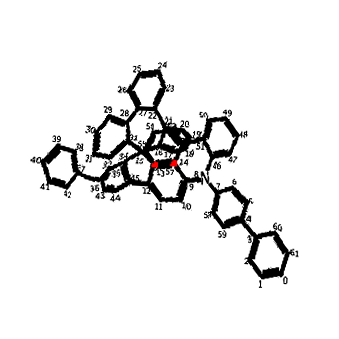 c1ccc(-c2ccc(N(c3ccc4c(c3)C3(c5ccccc5-c5ccccc5-c5ccccc53)c3cc(-c5ccccc5)ccc3-4)c3ccccc3-c3ccccc3)cc2)cc1